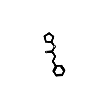 O=C(CCc1ccccc1)OC1CCCC1